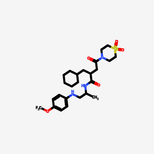 CC(CNc1ccc(OC(F)(F)F)cc1)NC(=O)C(CC(=O)N1CCS(=O)(=O)CC1)CC1CCCCC1